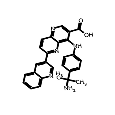 CC(C)(N)c1ccc(Nc2c(C(=O)O)cnc3ccc(-c4cnc5ccccc5c4)nc23)cc1